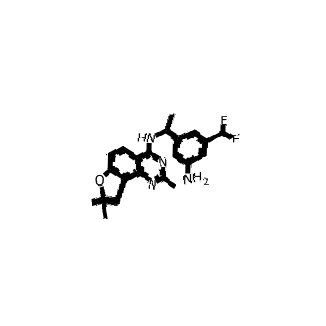 Cc1nc(NC(C)c2cc(N)cc(C(F)F)c2)c2c[c]c3c(c2n1)CC(C)(C)O3